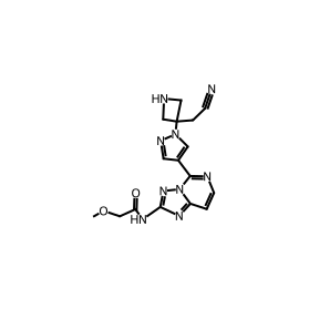 COCC(=O)Nc1nc2ccnc(-c3cnn(C4(CC#N)CNC4)c3)n2n1